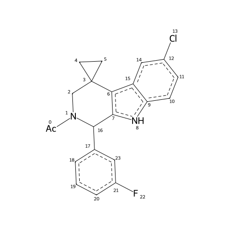 CC(=O)N1CC2(CC2)c2c([nH]c3ccc(Cl)cc23)C1c1cccc(F)c1